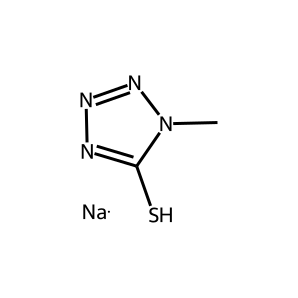 Cn1nnnc1S.[Na]